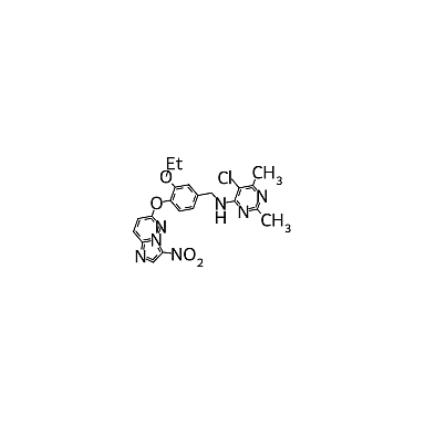 CCOc1cc(CNc2nc(C)nc(C)c2Cl)ccc1Oc1ccc2ncc([N+](=O)[O-])n2n1